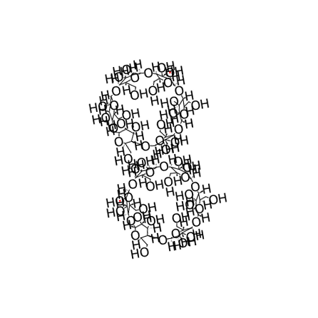 OC[C@H]1O[C@@H]2O[C@H]3[C@H](O)[C@@H](O)[C@@H](O[C@H]4[C@H](O)[C@@H](O)[C@@H](O[C@H]5[C@H](O)[C@@H](O)[C@@H](O[C@H]6[C@H](O)[C@@H](O)[C@@H](O[C@H]7[C@H](O)[C@@H](O)[C@@H](O[C@H]1[C@H](O)[C@H]2O)O[C@@H]7CO)O[C@@H]6CO)O[C@@H]5CO)O[C@@H]4CO)O[C@@H]3CO.OC[C@H]1O[C@@H]2O[C@H]3[C@H](O)[C@@H](O)[C@@H](O[C@H]4[C@H](O)[C@@H](O)[C@@H](O[C@H]5[C@H](O)[C@@H](O)[C@@H](O[C@H]6[C@H](O)[C@@H](O)[C@@H](O[C@H]7[C@H](O)[C@@H](O)[C@@H](O[C@H]1[C@H](O)[C@H]2O)O[C@@H]7CO)O[C@@H]6CO)O[C@@H]5CO)O[C@@H]4CO)O[C@@H]3CO